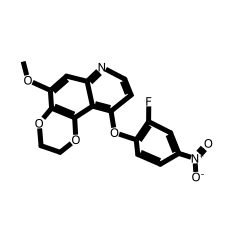 COc1cc2nccc(Oc3ccc([N+](=O)[O-])cc3F)c2c2c1OCCO2